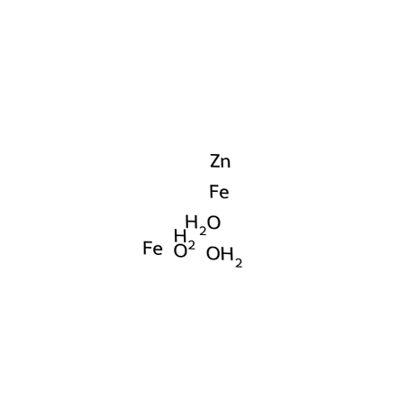 O.O.O.[Fe].[Fe].[Zn]